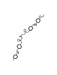 CCOc1ccc(/N=C/c2ccc(CC(=O)CC[C@H](C)CC(=O)Cc3ccc(/C=N/c4ccc(C)cc4)cc3)cc2)cc1